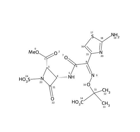 COC(=O)[C@@H]1[C@H](NC(=O)C(=NOC(C)(C)C(=O)O)c2csc(N)n2)C(=O)N1S(=O)(=O)O